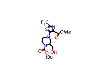 COC(=O)c1nc(C(F)(F)F)sc1N1CCN(C(=O)OC(C)(C)C)C(CO)C1